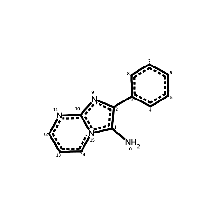 Nc1c(-c2ccccc2)nc2ncccn12